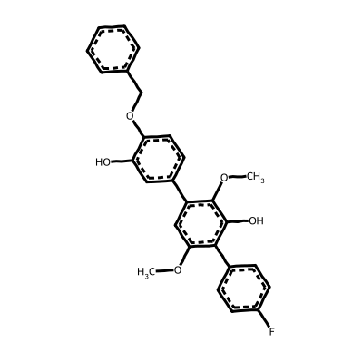 COc1cc(-c2ccc(OCc3ccccc3)c(O)c2)c(OC)c(O)c1-c1ccc(F)cc1